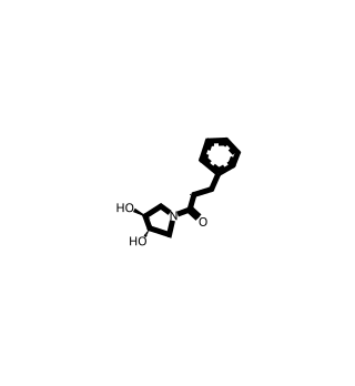 O=C([CH]Cc1ccccc1)N1C[C@H](O)[C@@H](O)C1